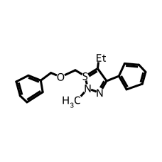 CCC1=S(COCc2ccccc2)N(C)N=C1c1ccccc1